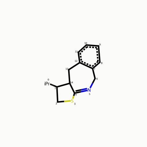 CC(C)C1CSC2=NCc3ccccc3CC21